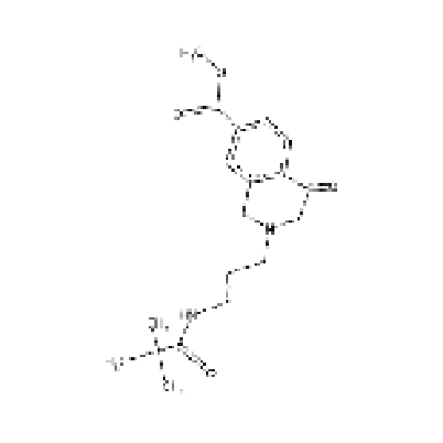 COC(=O)c1ccc2c(c1)CN(CCCNC(=O)C(C)(C)C)CC2=O